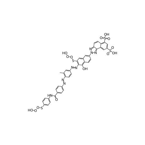 Cc1cc(N=Nc2c(SOOO)cc3cc(-n4nc5ccc6c(S(=O)(=O)O)cc(S(=O)(=O)O)cc6c5n4)ccc3c2O)ccc1N=Nc1ccc(C(=O)Nc2ccc(SOOO)cc2)cc1